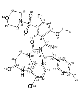 CCOc1cc(F)c(S(=O)(=O)N2CCOCC2)cc1C1=N[C@@H](c2ccc(Cl)cc2)[C@@H](c2ccc(Cl)cc2)N1C(=O)N1CCNC(=O)CC1